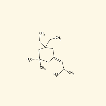 CCC1(CC)CC(=CC(C)N)CC(C)(C)C1